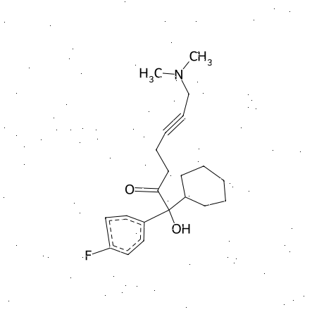 CN(C)CC#CCCC(=O)C(O)(c1ccc(F)cc1)C1CCCCC1